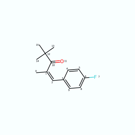 CC(=Cc1ccc(F)cc1)C(=O)C(C)(C)C